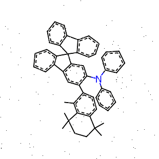 Cc1c(-c2cc3c(cc2N(c2ccccc2)c2ccccc2)C2(c4ccccc4-c4ccccc42)c2ccccc2-3)ccc2c1C(C)(C)CCC2(C)C